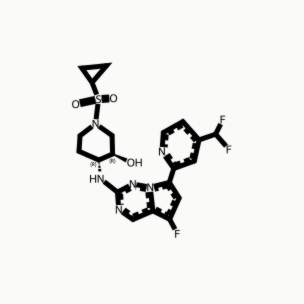 O=S(=O)(C1CC1)N1CC[C@@H](Nc2ncc3c(F)cc(-c4cc(C(F)F)ccn4)n3n2)[C@H](O)C1